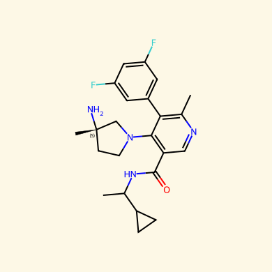 Cc1ncc(C(=O)NC(C)C2CC2)c(N2CC[C@](C)(N)C2)c1-c1cc(F)cc(F)c1